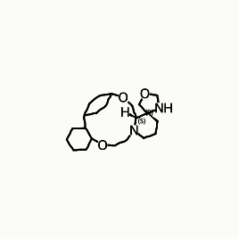 C1CCC2C3CCC(CC3)OC[C@H]3N(CCC[C@]34COCN4)CCOC2C1